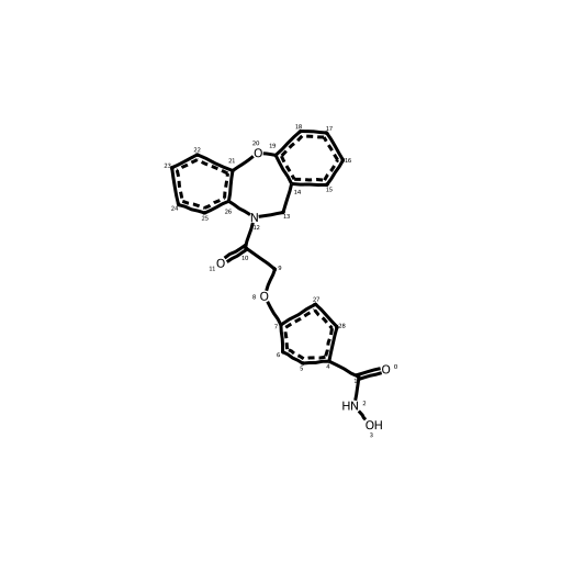 O=C(NO)c1ccc(OCC(=O)N2Cc3ccccc3Oc3ccccc32)cc1